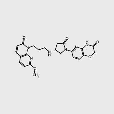 COc1ccc2ncc(=O)n(CCCN[C@@H]3CC(=O)N(c4ccc5c(n4)NC(=O)CO5)C3)c2n1